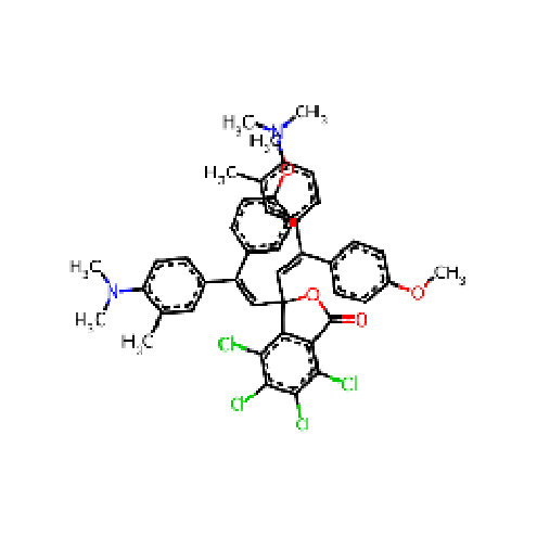 COc1ccc(/C(=C\C2(/C=C(\c3ccc(OC)cc3)c3ccc(N(C)C)c(C)c3)OC(=O)c3c(Cl)c(Cl)c(Cl)c(Cl)c32)c2ccc(N(C)C)c(C)c2)cc1